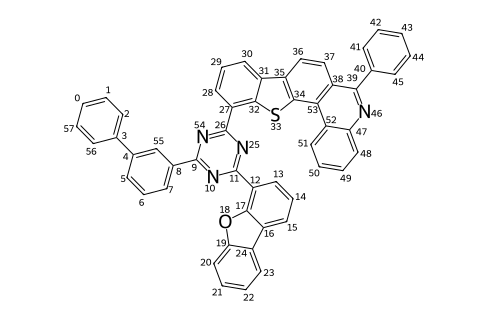 c1ccc(-c2cccc(-c3nc(-c4cccc5c4oc4ccccc45)nc(-c4cccc5c4sc4c5ccc5c(-c6ccccc6)nc6ccccc6c54)n3)c2)cc1